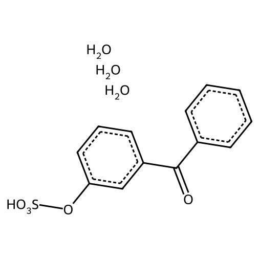 O.O.O.O=C(c1ccccc1)c1cccc(OS(=O)(=O)O)c1